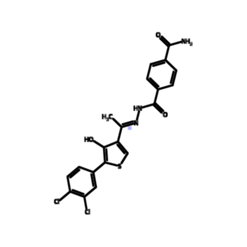 C/C(=N\NC(=O)c1ccc(C(N)=O)cc1)c1csc(-c2ccc(Cl)c(Cl)c2)c1O